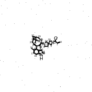 C=CC(=O)N1CC2(CCN(C3=C(F)C(c4c(C)ccc5[nH]ncc45)=CCC45CC4(C=N3)C5(C)C)C2)C1